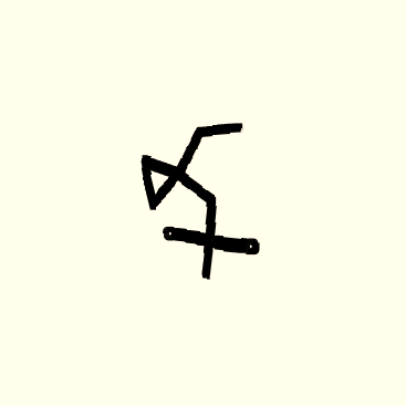 CCC1(CS(C)(=O)=O)CC1